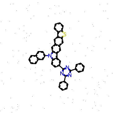 c1ccc(-c2nc(-c3ccccc3)nc(-c3ccc4c(c3)c3cc5cc6sc7ccccc7c6cc5cc3n4-c3ccc4ccccc4c3)n2)cc1